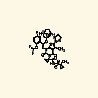 Cc1c(-n2nccn2)sc2c1c(=O)n(C1(C(=O)NS(=O)(=O)C3(C)CC3)CC1)c(=O)n2CC(OC1C[C@H]2CC[C@@H](C1)O2)c1cc(F)ccc1OC(F)F